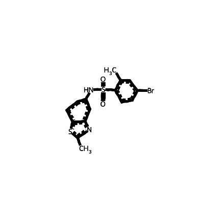 Cc1nc2cc(NS(=O)(=O)c3ccc(Br)cc3C)ccc2s1